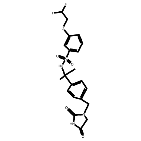 CC(C)(NS(=O)(=O)c1cccc(OCC(F)F)c1)c1ccc(CN2CC(=O)NC2=O)cc1